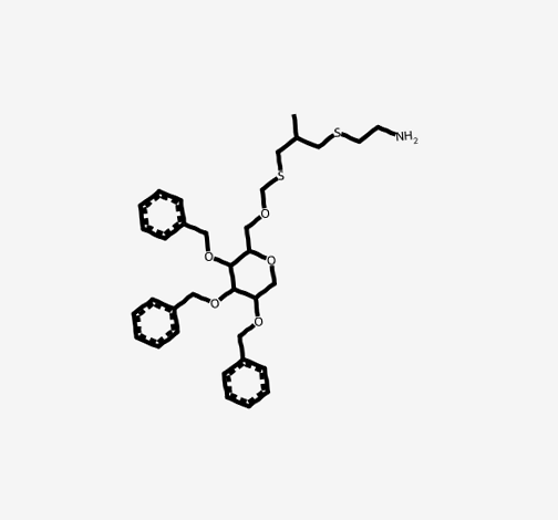 CC(CSCCN)CSCOCC1OCC(OCc2ccccc2)C(OCc2ccccc2)C1OCc1ccccc1